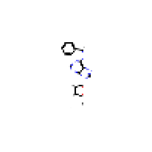 CC[C@@H](Nc1ncnc2c1ncn2[C@@H]1O[C@H](COC(C)=O)C(OC(C)=O)C1OC(C)=O)c1ccccc1